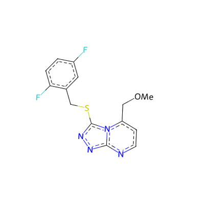 COCc1ccnc2nnc(SCc3cc(F)ccc3F)n12